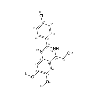 COc1cc2c(cc1OC)C(C=O)NC(c1ccc(Cl)cc1)=N2